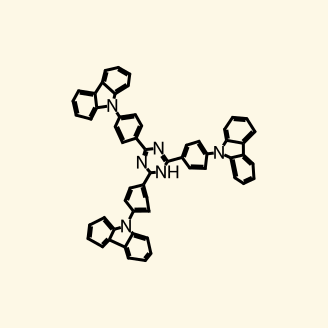 c1ccc2c(c1)c1ccccc1n2-c1ccc(C2=NC(c3ccc(-n4c5ccccc5c5ccccc54)cc3)NC(c3ccc(-n4c5ccccc5c5ccccc54)cc3)=N2)cc1